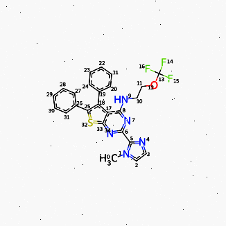 Cn1ccnc1-c1nc(NCCOC(F)(F)F)c2c(-c3ccccc3)c(-c3ccccc3)sc2n1